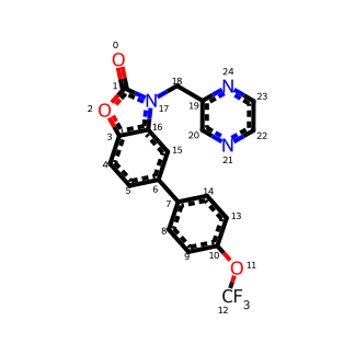 O=c1oc2ccc(-c3ccc(OC(F)(F)F)cc3)cc2n1Cc1cnccn1